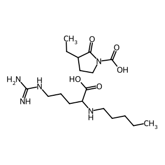 CCC1CCN(C(=O)O)C1=O.CCCCCNC(CCCNC(=N)N)C(=O)O